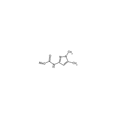 COC(=O)Nc1cc(C)n(C)n1